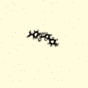 C=C(C)c1ccc(NC(=O)c2ccc(-c3ccc(Br)cc3)o2)cc1